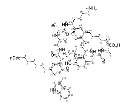 CCCCCCCCCCCCCCCCC(=O)N[C@@H](Cc1c[nH]c2ccccc12)C(=O)NCC(=O)NCC(=O)N[C@H](C(=O)N[C@@H](CCCCN)C(=O)N[C@@H](CCCCN)C(=O)N[C@@H](CC(N)=O)C(=O)N[C@@H](Cc1ccc(O)cc1)C(=O)N[C@@H](C)C(=O)O)[C@@H](C)CC